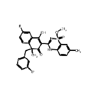 COP1(=O)N=C(C2=C(O)c3cc(F)ccc3C(C)(Cc3cccc(Br)c3)C2=O)Nc2ccc(C)cc21